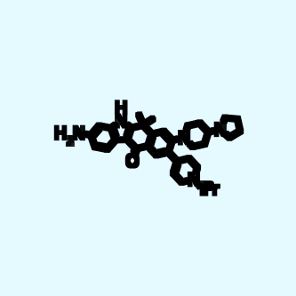 CC(C)N1CC=C(c2cc3c(cc2N2CCC(N4CCCC4)CC2)C(C)(C)c2[nH]c4cc(N)ccc4c2C3=O)CC1